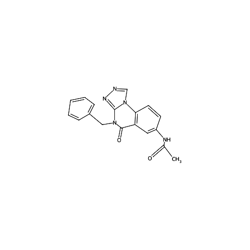 CC(=O)Nc1ccc2c(c1)c(=O)n(Cc1ccccc1)c1nncn21